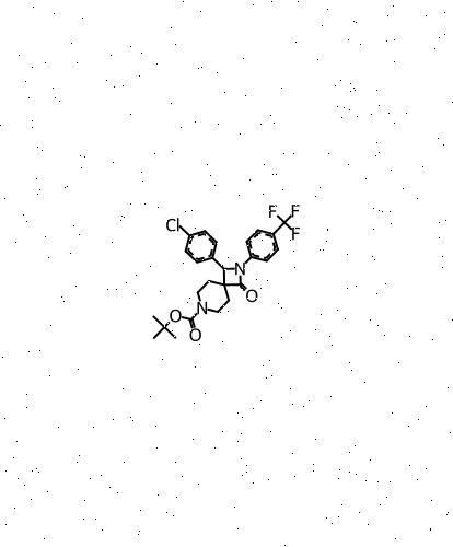 CC(C)(C)OC(=O)N1CCC2(CC1)C(=O)N(c1ccc(C(F)(F)F)cc1)C2c1ccc(Cl)cc1